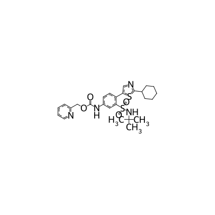 CC(C)(C)NS(=O)(=O)c1cc(NC(=O)OCc2ccccn2)ccc1-c1cnc(C2CCCCC2)s1